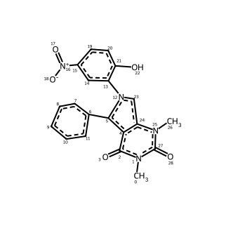 Cn1c(=O)c2c(-c3ccccc3)n(-c3cc([N+](=O)[O-])ccc3O)cc2n(C)c1=O